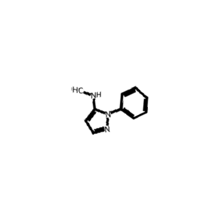 [CH]Nc1ccnn1-c1ccccc1